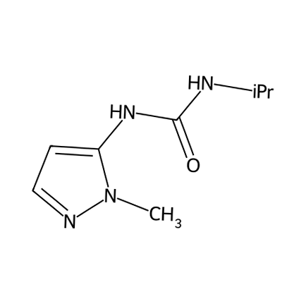 CC(C)NC(=O)Nc1ccnn1C